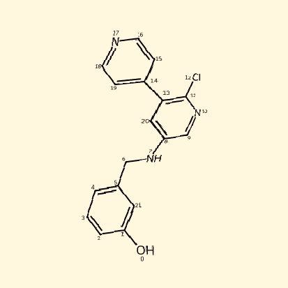 Oc1cccc(CNc2cnc(Cl)c(-c3ccncc3)c2)c1